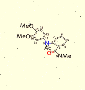 CNC(=O)c1ccccc1N(C(C)=O)c1ccc(OC)c(OC)c1